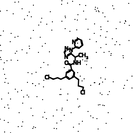 CC(NC(=O)c1cc(CCCCl)cc(CCCCl)c1)c1ncnn1-c1ccccn1